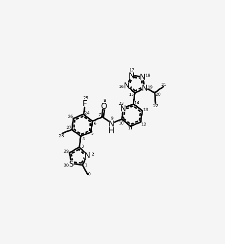 Cc1nc(-c2cc(C(=O)Nc3cccc(-c4nnnn4C(C)C)n3)c(F)cc2C)cs1